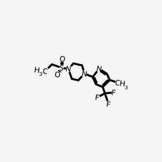 CCS(=O)(=O)N1CCN(c2cc(C(F)(F)F)c(C)cn2)CC1